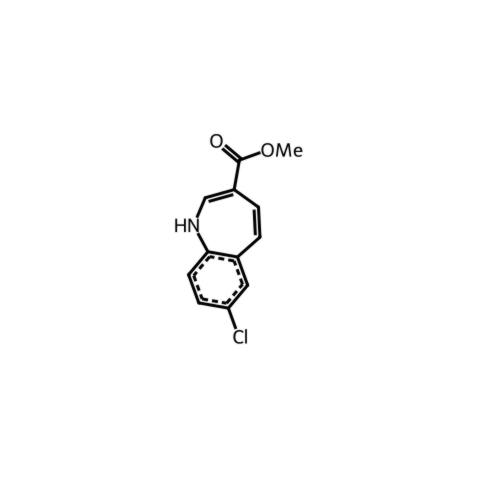 COC(=O)C1=CNc2ccc(Cl)cc2C=C1